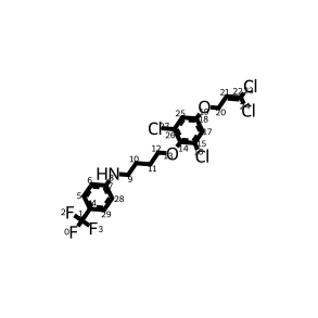 FC(F)(F)c1ccc(NCCCCOc2c(Cl)cc(OCC=C(Cl)Cl)cc2Cl)cc1